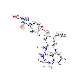 COc1ccc(N(C)C2=NC(C)(C)Nc3ccccc32)cc1Oc1ccc(C(=O)NO)cc1